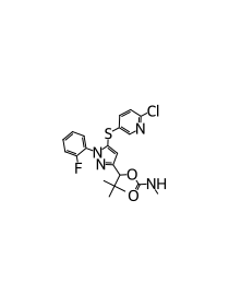 CNC(=O)OC(c1cc(Sc2ccc(Cl)nc2)n(-c2ccccc2F)n1)C(C)(C)C